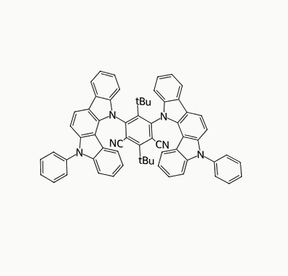 CC(C)(C)c1c(C#N)c(-n2c3ccccc3c3ccc4c(c5ccccc5n4-c4ccccc4)c32)c(C(C)(C)C)c(-n2c3ccccc3c3ccc4c(c5ccccc5n4-c4ccccc4)c32)c1C#N